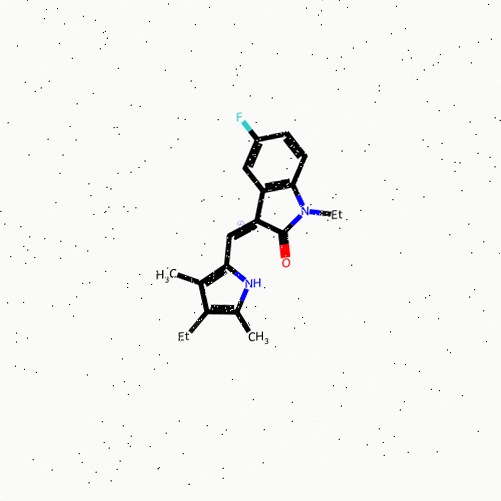 CCc1c(C)[nH]c(/C=C2\C(=O)N(CC)c3ccc(F)cc32)c1C